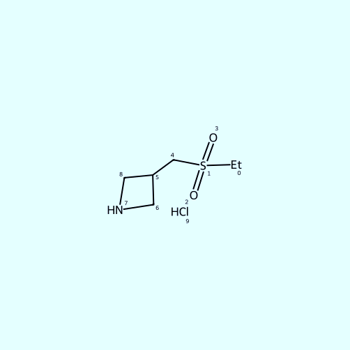 CCS(=O)(=O)CC1CNC1.Cl